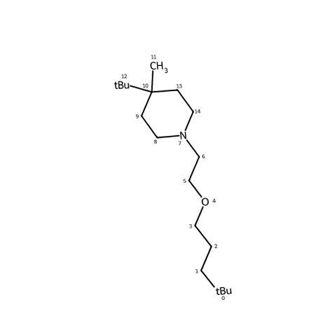 CC(C)(C)CCCOCCN1CCC(C)(C(C)(C)C)CC1